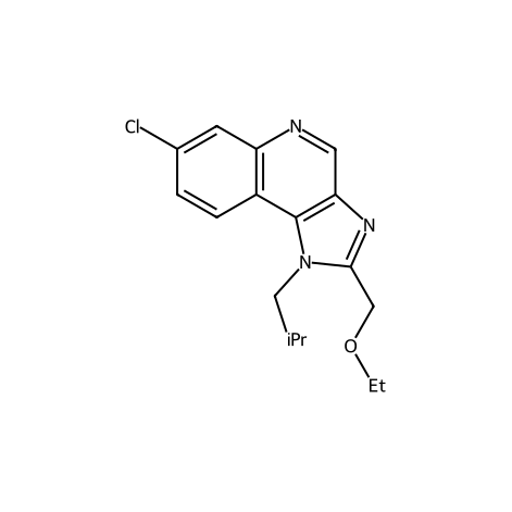 CCOCc1nc2cnc3cc(Cl)ccc3c2n1CC(C)C